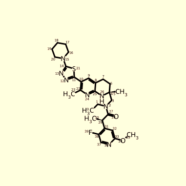 CCN(C[C@@]1(C)CCc2cc(-c3nnc(N4CCCCC4)s3)c(C)nc2N1)C(=O)[C@H](C)c1cc(OC)ncc1F